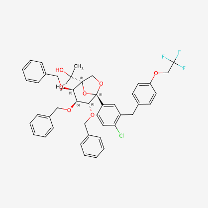 CC(C)(O)[C@]12CO[C@@](c3ccc(Cl)c(Cc4ccc(OCC(F)(F)F)cc4)c3)(O1)[C@H](OCc1ccccc1)[C@@H](OCc1ccccc1)[C@H]2OCc1ccccc1